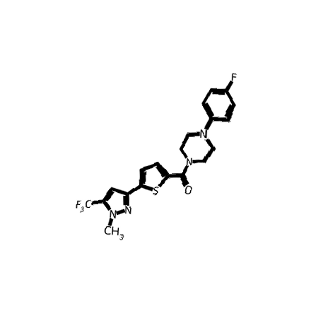 Cn1nc(-c2ccc(C(=O)N3CCN(c4ccc(F)cc4)CC3)s2)cc1C(F)(F)F